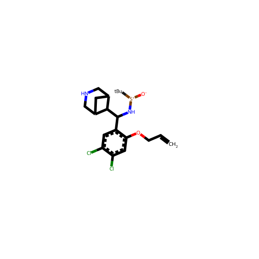 C=CCOc1cc(Cl)c(Cl)cc1C(N[S+]([O-])C(C)(C)C)C1C2CNCC1C2